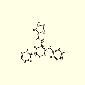 c1ccc(N2CCN(Cc3ccncc3)C(OCC3COCO3)C2)cc1